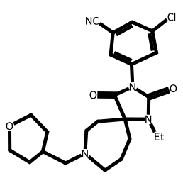 CCN1C(=O)N(c2cc(Cl)cc(C#N)c2)C(=O)C12CCCN(CC1CCOCC1)CC2